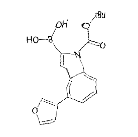 CC(C)(C)OC(=O)n1c(B(O)O)cc2c(-c3ccoc3)cccc21